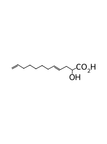 C=CCCCCCC=CCC(O)C(=O)O